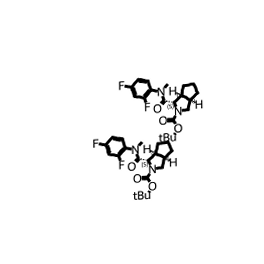 CN(C(=O)[C@@H]1[C@H]2CCC[C@H]2CN1C(=O)OC(C)(C)C)c1ccc(F)cc1F.CN(C(=O)[C@@H]1[C@H]2CCC[C@H]2CN1C(=O)OC(C)(C)C)c1ccc(F)cc1F